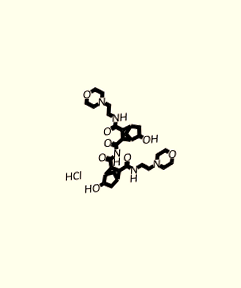 Cl.O=C(NCCN1CCOCC1)C1C2CC(O)C(C2)C1C(=O)NC(=O)C1C2CC(CC2O)C1C(=O)NCCN1CCOCC1